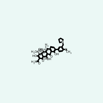 COc1ccc(-c2ccc3c(c2O)C(=O)C2=C(O)[C@]4(O)C(=O)C(C(N)=O)=C(O)[C@@H](N(C)C)[C@@H]4[C@@H](O)[C@@H]2[C@H]3C)cc1CN1CCCC1